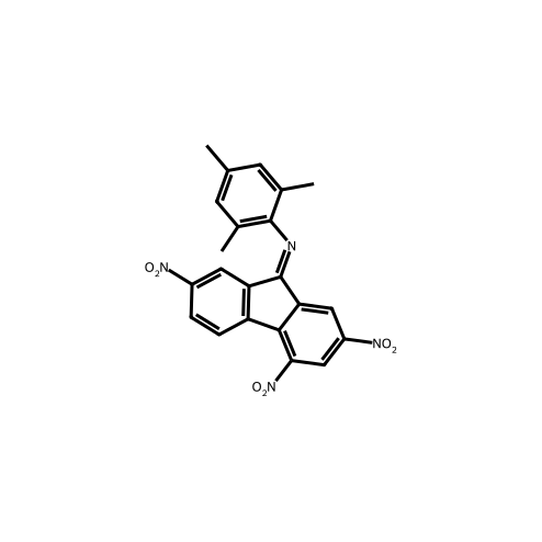 Cc1cc(C)c(N=C2c3cc([N+](=O)[O-])ccc3-c3c2cc([N+](=O)[O-])cc3[N+](=O)[O-])c(C)c1